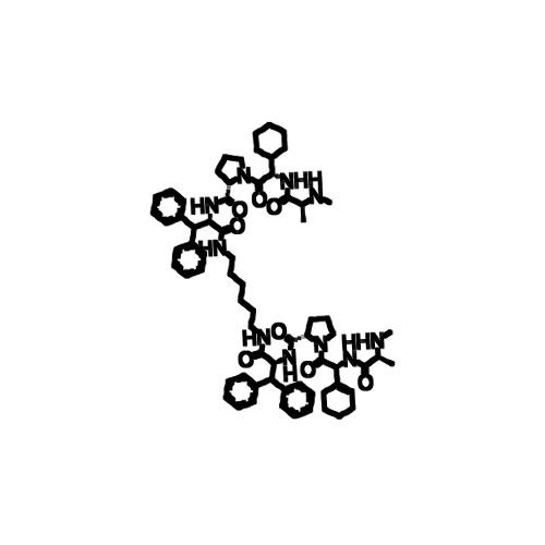 CN[C@@H](C)C(=O)N[C@H](C(=O)N1CCC[C@H]1C(=O)N[C@H](C(=O)NCCCCCCNC(=O)[C@@H](NC(=O)[C@@H]1CCCN1C(=O)[C@@H](NC(=O)[C@H](C)NC)C1CCCCC1)C(c1ccccc1)c1ccccc1)C(c1ccccc1)c1ccccc1)C1=CCCCC1